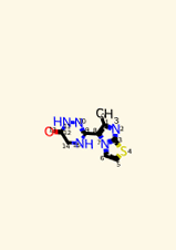 Cc1nc2sccn2c1C1=NNC(=O)CN1